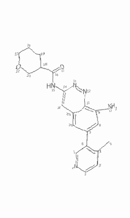 Cc1ccncc1-c1cc(N)c2nnc(NC(=O)C3CCCOC3)cc2c1